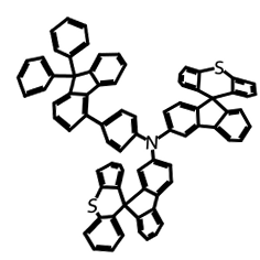 c1ccc(C2(c3ccccc3)c3ccccc3-c3c(-c4ccc(N(c5ccc6c(c5)-c5ccccc5C65c6ccccc6Sc6ccccc65)c5ccc6c(c5)C5(c7ccccc7Sc7ccccc75)c5ccccc5-6)cc4)cccc32)cc1